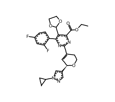 CCOC(=O)c1nc(C2=C[C@H](c3cnn(C4CC4)c3)OCC2)nc(-c2ccc(F)cc2F)c1C1OCCO1